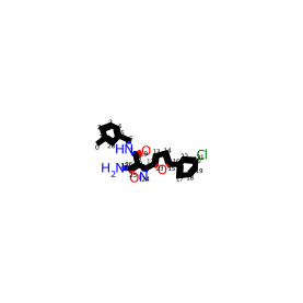 Cc1cccc(CNC(=O)c2c(-c3ccc(-c4cccc(Cl)c4)o3)noc2N)c1